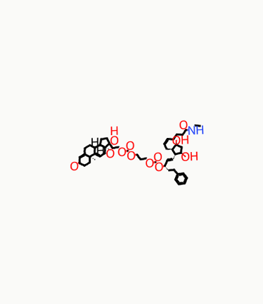 CCNC(=O)CCC/C=C\C[C@@H]1[C@@H](/C=C/[C@H](CCc2ccccc2)OC(=O)OCCCOC(=O)OCC(=O)[C@@]2(O)CC[C@H]3[C@@H]4CCC5=CC(=O)CC[C@]5(C)C4=CC[C@@]32C)[C@H](O)C[C@@H]1O